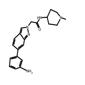 CN1CCC(NC(=O)Cn2cc3ccc(-c4cccc(N)c4)cc3n2)CC1